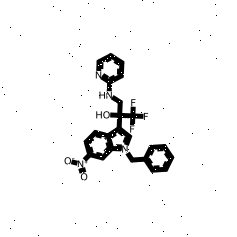 O=[N+]([O-])c1ccc2c(C(O)(CNc3ccccn3)C(F)(F)F)cn(Cc3ccccc3)c2c1